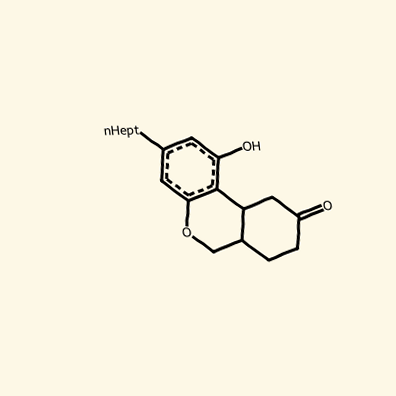 CCCCCCCc1cc(O)c2c(c1)OCC1CCC(=O)CC21